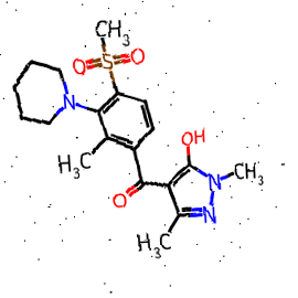 Cc1nn(C)c(O)c1C(=O)c1ccc(S(C)(=O)=O)c(N2CCCCC2)c1C